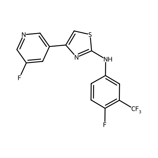 Fc1cncc(-c2csc(Nc3ccc(F)c(C(F)(F)F)c3)n2)c1